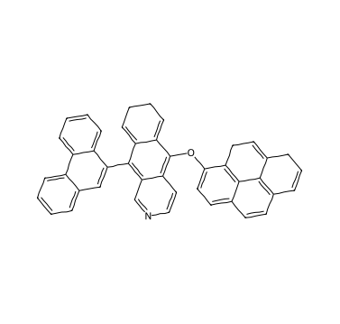 C1=Cc2ccc3ccc(Oc4c5c(c(-c6cc7ccccc7c7ccccc67)c6cnccc46)=CCCC=5)c4c3c2C(=CC4)C1